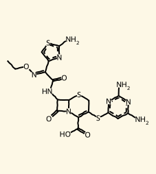 CCON=C(C(=O)NC1C(=O)N2C(C(=O)O)=C(Sc3cc(N)nc(N)n3)CSC12)c1csc(N)n1